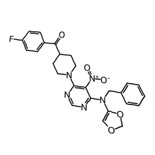 O=C(c1ccc(F)cc1)C1CCN(c2ncnc(N(Cc3ccccc3)C3=COCO3)c2[N+](=O)[O-])CC1